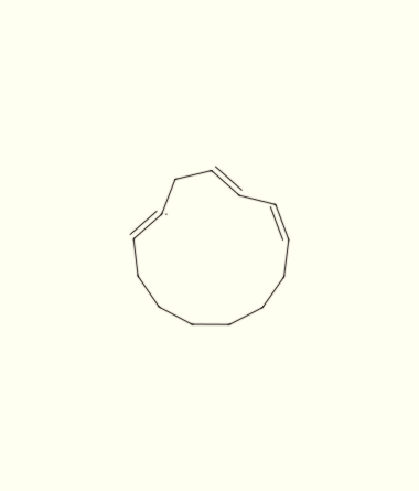 [C]1=C/CCCCCC/C=C\C=C\C/1